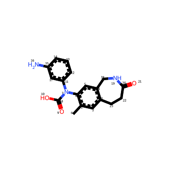 Cc1cc2c(cc1N(C(=O)O)c1cccc(N)c1)CNC(=O)CC2